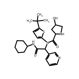 CC(C)(C)c1ccc(N(C(=O)C2CC(O)CN2)C(C(=O)NC2CCCCC2)c2cccnc2)s1